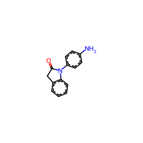 Nc1ccc(N2C(=O)Cc3ccccc32)cc1